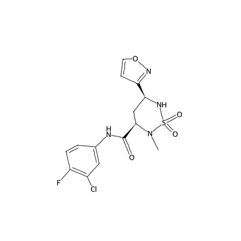 CN1[C@@H](C(=O)Nc2ccc(F)c(Cl)c2)C[C@@H](c2ccon2)NS1(=O)=O